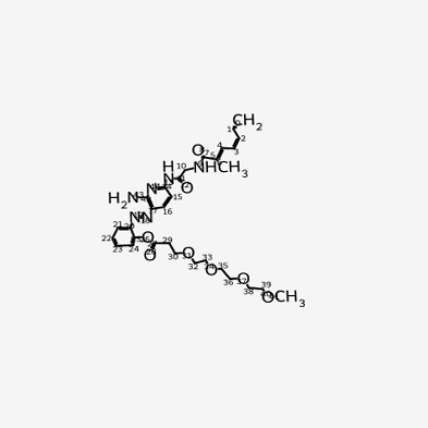 C=C/C=C\C=C(/C)C(=O)NCC(=O)Nc1ccc(/N=N/c2ccccc2OC(=O)CCOCCOCCOCCOC)c(N)n1